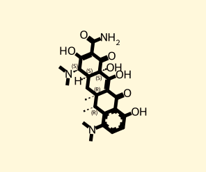 C[C@H]1c2c(N(C)C)ccc(O)c2C(=O)C2=C(O)[C@]3(O)C(=O)C(C(N)=O)=C(O)[C@@H](N(C)C)[C@@H]3C[C@@]21C